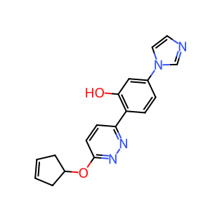 Oc1cc(-n2ccnc2)ccc1-c1ccc(OC2CC=CC2)nn1